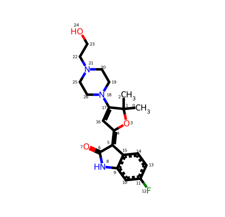 CC1(C)O/C(=C2/C(=O)Nc3cc(F)ccc32)C=C1N1CCN(CCO)CC1